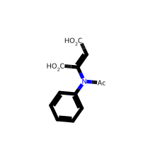 CC(=O)N(/C(=C/C(=O)O)C(=O)O)c1ccccc1